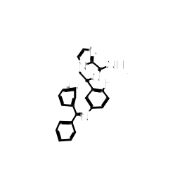 C[C@@]1(c2cc(N=C(c3ccccc3)c3ccccc3)ccc2F)Cn2ccnc2C(N)=N1